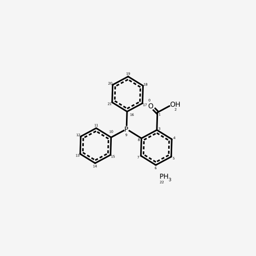 O=C(O)c1ccccc1P(c1ccccc1)c1ccccc1.P